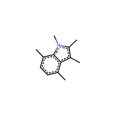 Cc1ccc(C)c2c1c(C)c(C)n2C